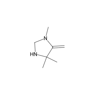 C=C1N(C)CNC1(C)C